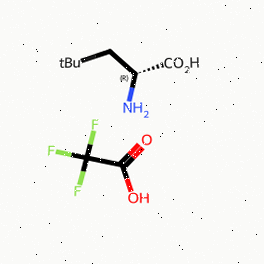 CC(C)(C)C[C@@H](N)C(=O)O.O=C(O)C(F)(F)F